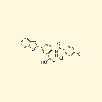 O=C(Nc1ccc(-c2cc3ccccc3o2)cc1C(=O)O)c1ccc(Cl)cc1Cl